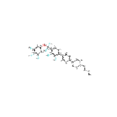 C=CCCC1CCC(c2ccc(-c3ccc(C(F)(F)Oc4cc(F)c(F)c(F)c4)c(F)c3F)cc2)CC1